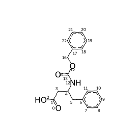 O=C(O)CC(Cc1ccccc1)NC(=O)OCc1ccccc1